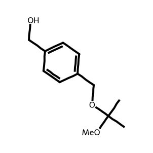 COC(C)(C)OCc1ccc(CO)cc1